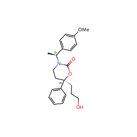 COc1ccc([C@H](C)N2CC[C@](CCCO)(c3ccccc3)OC2=O)cc1